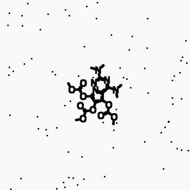 COC(=O)Oc1c(OC(=O)OC)c2c(N(C)C)nc(N(C)C)nn2c1OC(=O)OC